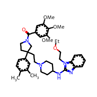 CCOCCn1c(NC2CCN(CCC3(c4ccc(C)c(C)c4)CCN(C(=O)c4cc(OC)c(OC)c(OC)c4)C3)CC2)nc2ccccc21